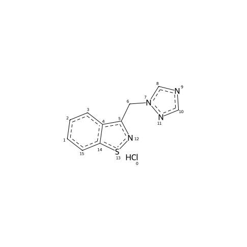 Cl.c1ccc2c(Cn3cncn3)nsc2c1